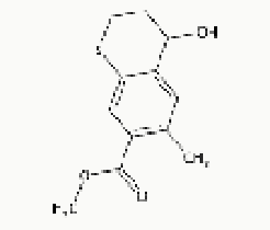 COC(=O)c1cc2c(cc1C)C(O)CCS2